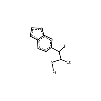 CCNC(CC)C(F)c1ccc2ccsc2c1